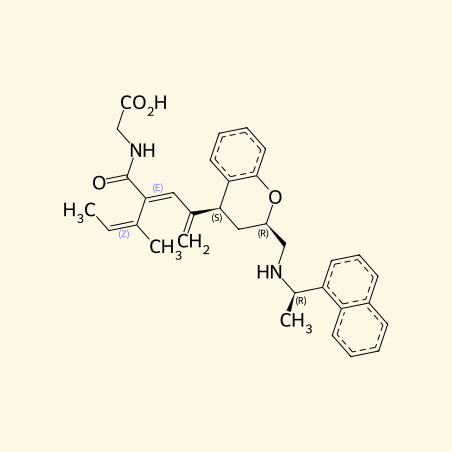 C=C(/C=C(C(=O)NCC(=O)O)\C(C)=C/C)[C@@H]1C[C@H](CN[C@H](C)c2cccc3ccccc23)Oc2ccccc21